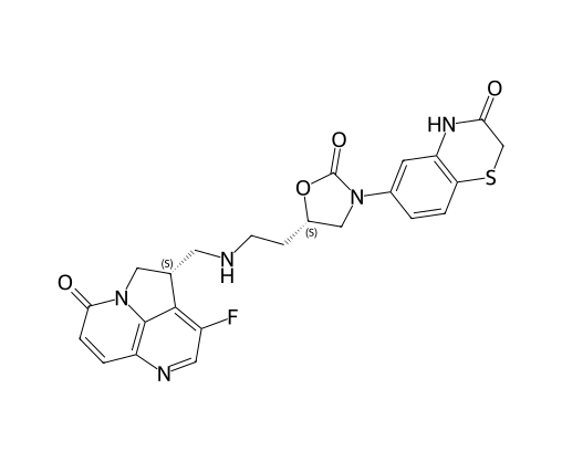 O=C1CSc2ccc(N3C[C@H](CCNC[C@H]4Cn5c(=O)ccc6ncc(F)c4c65)OC3=O)cc2N1